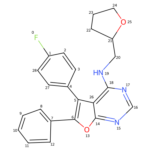 Fc1ccc(-c2c(-c3ccccc3)oc3ncnc(NCC4CCCO4)c23)cc1